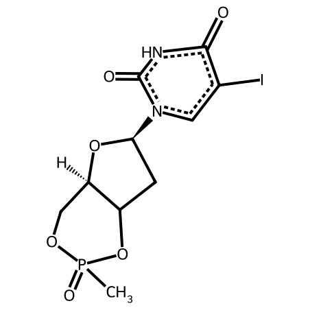 CP1(=O)OC[C@H]2O[C@@H](n3cc(I)c(=O)[nH]c3=O)CC2O1